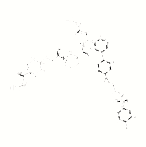 Cc1ccc(S(=O)(=O)OCCOc2ccc(-c3cncc([C@H](CC(=O)OC(C)(C)C)NC(=O)[C@@H]4CCCN(C(=O)CCC5CCN(C(=O)OC(C)(C)C)CC5)C4)c3)cc2)cc1